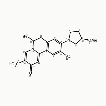 CO[C@@H]1CCN(c2cc3c(cc2C(C)=O)-c2cc(=O)c(C(=O)O)cn2C(C(C)C)C3)C1